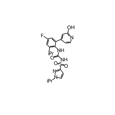 CC(C)c1cc(F)cc(-c2ccnc(O)c2)c1NC(=O)NS(=O)(=O)c1ccn(C(C)C)n1